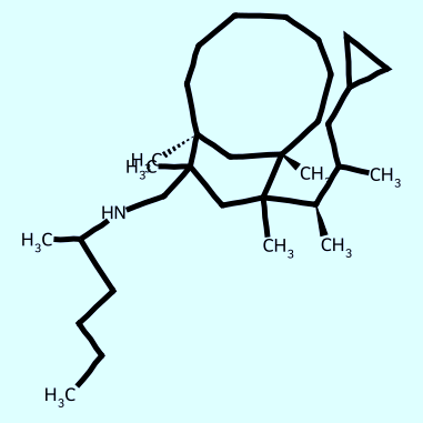 CCCCC(C)NCC1(C)CC(C)([C@H](C)C(C)CC2CC2)[C@@]2(C)CCCCCCC[C@@]1(C)C2